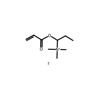 C=CC(=O)OC(CC)[N+](C)(C)C.[I-]